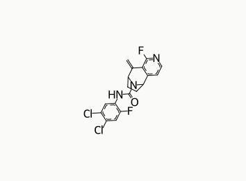 C=C1c2c(ccnc2F)C2CCC1N2C(=O)Nc1cc(Cl)c(Cl)cc1F